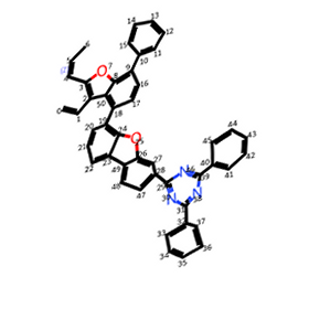 C=Cc1c(/C=C\C)oc2c(-c3ccccc3)ccc(-c3cccc4c3oc3cc(-c5nc(-c6ccccc6)nc(-c6ccccc6)n5)ccc34)c12